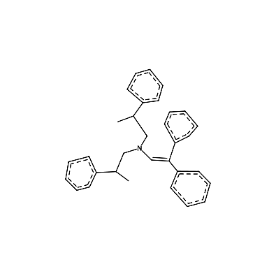 CC(CN(C=C(c1ccccc1)c1ccccc1)CC(C)c1ccccc1)c1ccccc1